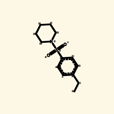 CCc1ccc(S(=O)(=O)N2CCCCC2)cc1